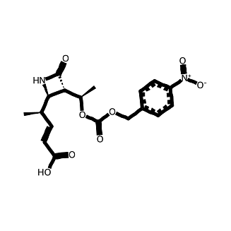 C[C@H](C=CC(=O)O)[C@H]1NC(=O)[C@@H]1[C@@H](C)OC(=O)OCc1ccc([N+](=O)[O-])cc1